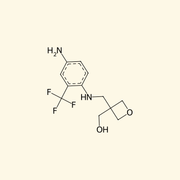 Nc1ccc(NCC2(CO)COC2)c(C(F)(F)F)c1